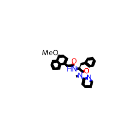 COc1ccc(CC(=O)N[C@@H](Cc2ccccc2)C(=O)N(C)c2ccccn2)c2ccccc12